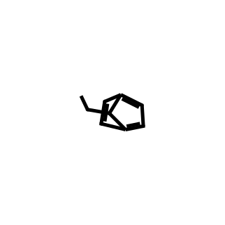 CCC1C2=CC=C1C=C2